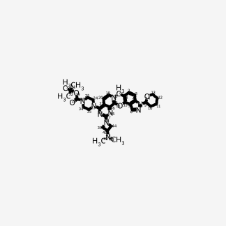 Cc1ccc2c(cnn2C2CCCCO2)c1Oc1nccc2c(N3CCN(C(=O)OC(C)(C)C)CC3)nc(N3CC(N(C)C)C3)nc12